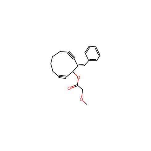 COCC(=O)OC1C#CCCCCC#C/C1=C\c1ccccc1